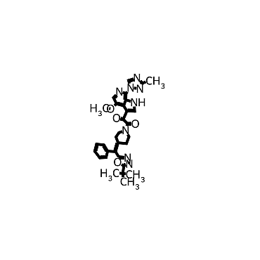 COc1cnc(-n2cnc(C)n2)c2[nH]cc(C(=O)C(=O)N3CCC(=C(c4ccccc4)c4nnc(C(C)(C)C)o4)CC3)c12